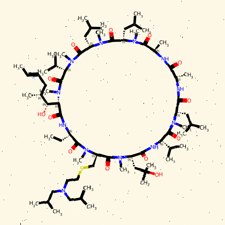 C/C=C/C[C@@H](C)[C@@H](O)[C@H]1C(=O)N[C@@H](CC)C(=O)N(C)[C@H](CSCCN(CC(C)C)CC(C)C)C(=O)N(C)[C@@H](CC(C)(C)O)C(=O)N[C@@H](C(C)C)C(=O)N(C)[C@@H](CC(C)C)C(=O)N[C@@H](C)C(=O)N[C@H](C)C(=O)N(C)[C@@H](CC(C)C)C(=O)N(C)[C@@H](CC(C)C)C(=O)N(C)[C@@H](C(C)C)C(=O)N1C